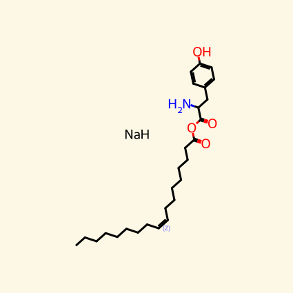 CCCCCCCC/C=C\CCCCCCCC(=O)OC(=O)C(N)Cc1ccc(O)cc1.[NaH]